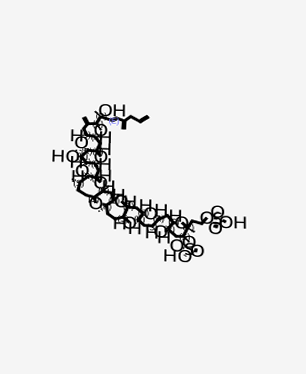 C=CCC(=C)/C=C/[C@@](C)(O)[C@H]1O[C@@H]2C[C@@H]3O[C@@H]4C[C@@H]5O[C@@H]6C[C@@H]7O[C@@H]8C[C@@H]9O[C@@H]%10C[C@@H]%11O[C@](C)(CCOS(=O)(=O)O)[C@@H](OS(=O)(=O)O)C[C@H]%11O[C@H]%10C[C@H]9O[C@H]8CC[C@@]7(C)O[C@@]6(C)CC[C@H](C)[C@H]5O[C@H]4[C@@H](O)[C@@]3(C)O[C@H]2CC1=C